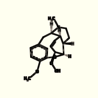 COc1ccc2cc1O[C@@H]1[C@H]3CCN(C)[C@H](C2)[C@@H]3C=C[C@@H]1OO